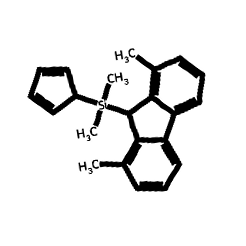 Cc1cccc2c1C([Si](C)(C)C1C=CC=C1)c1c(C)cccc1-2